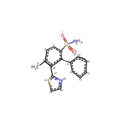 Cc1ccc(S(N)(=O)=O)c(-c2ccccc2)c1-c1nccs1